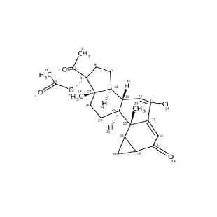 CC(=O)O[C@]1(C(C)=O)CC[C@H]2[C@@H]3C=C(Cl)C4=CC(=O)C5CC5[C@]4(C)[C@H]3CC[C@@]21C